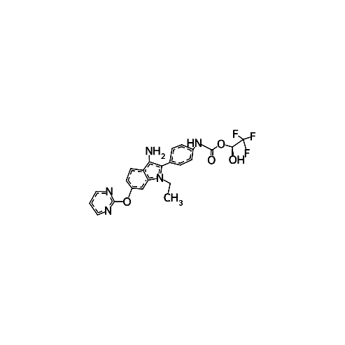 CCn1c(-c2ccc(NC(=O)O[C@H](O)C(F)(F)F)cc2)c(N)c2ccc(Oc3ncccn3)cc21